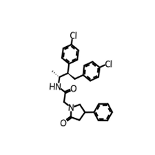 C[C@@H](NC(=O)CN1CC(c2ccccc2)CC1=O)[C@H](Cc1ccc(Cl)cc1)c1ccc(Cl)cc1